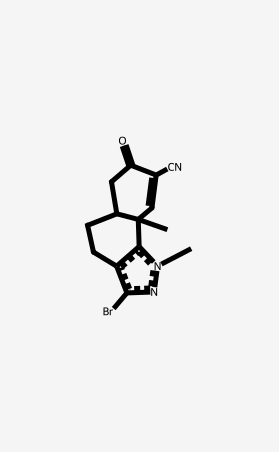 Cn1nc(Br)c2c1C1(C)C=C(C#N)C(=O)CC1CC2